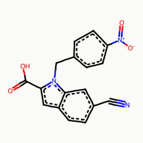 N#Cc1ccc2cc(C(=O)O)n(Cc3ccc([N+](=O)[O-])cc3)c2c1